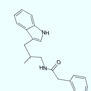 C[C](CNC(=O)Cc1ccccc1)Cc1c[nH]c2ccccc12